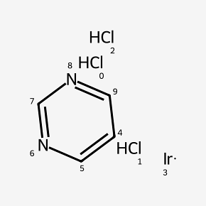 Cl.Cl.Cl.[Ir].c1cncnc1